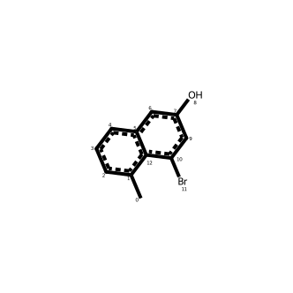 Cc1cccc2cc(O)cc(Br)c12